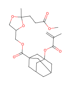 C=C(C)C(=O)OC12CC3CC(C1)CC(C(=O)OCC1COC(C)(CCC(=O)OC)O1)(C3)C2